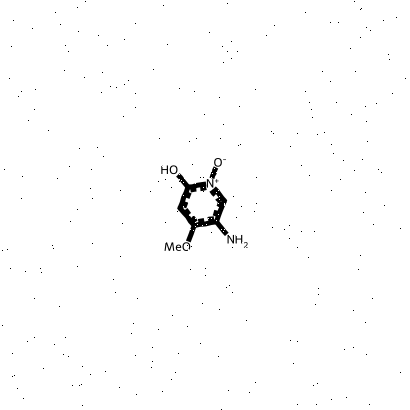 COc1cc(O)[n+]([O-])cc1N